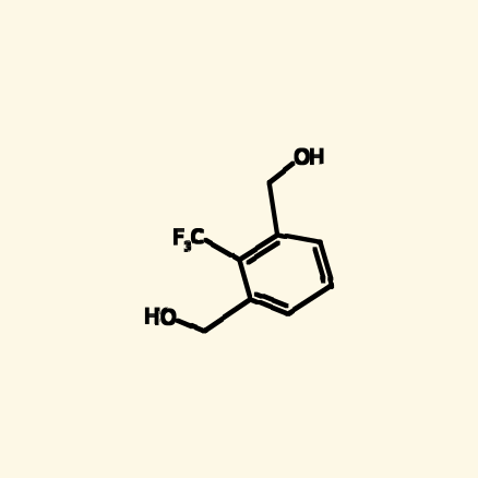 OCc1cccc(CO)c1C(F)(F)F